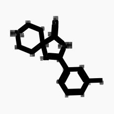 Cc1cccc(C2=NC3(CCNCC3)C(=O)N2)c1